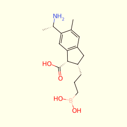 Cc1cc2c(cc1[C@H](C)N)[C@@H](C(=O)O)[C@@H](CCCB(O)O)C2